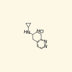 Cl.c1cc2c(nn1)CCC(NC1CC1)C2